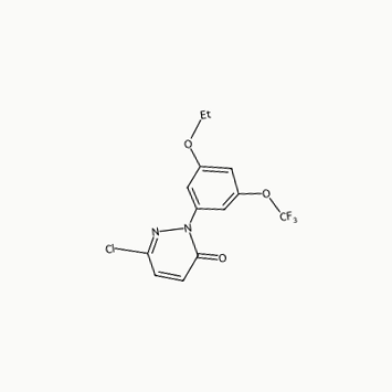 CCOc1cc(OC(F)(F)F)cc(-n2nc(Cl)ccc2=O)c1